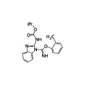 Cc1ccccc1OC(=N)n1c(NC(=O)OC(C)C)nc2ccccc21